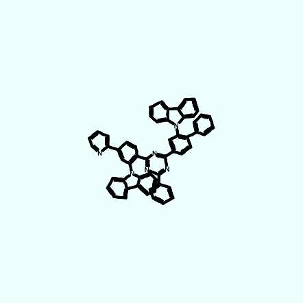 c1ccc(-c2nc(-c3ccc(-c4ccccc4)c(-n4c5ccccc5c5ccccc54)c3)nc(-c3ccc(-c4ccccn4)cc3-n3c4ccccc4c4ccccc43)n2)cc1